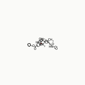 C[C@H](CCCC(=O)NC1CCOC1)[C@H]1CC[C@H]2[C@@H]3[C@@H](O)C[C@@H]4CN(C(=O)OCc5ccccc5)CC[C@]4(C)[C@H]3CC[C@]12C